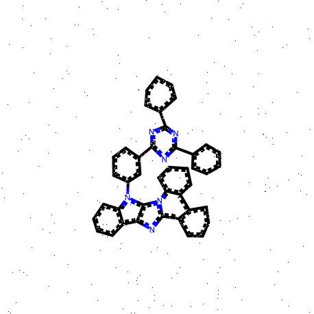 c1ccc(-c2nc(-c3ccccc3)nc(-c3cccc(-n4c5ccccc5c5nc6c7ccccc7c7ccccc7n6c54)c3)n2)cc1